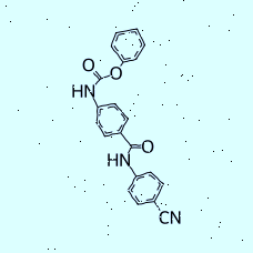 N#Cc1ccc(NC(=O)c2ccc(NC(=O)Oc3ccccc3)cc2)cc1